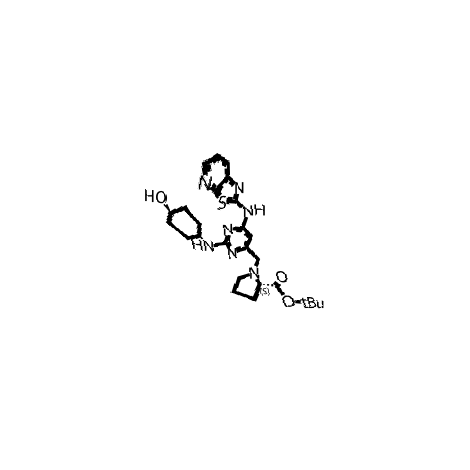 CC(C)(C)OC(=O)[C@@H]1CCCN1Cc1cc(Nc2nc3cccnc3s2)nc(N[C@H]2CC[C@H](O)CC2)n1